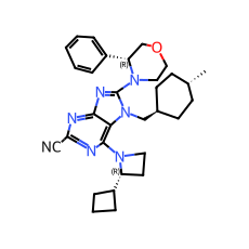 C[C@H]1CC[C@H](Cn2c(N3CCOC[C@H]3c3ccccc3)nc3nc(C#N)nc(N4CC[C@@H]4C4CCC4)c32)CC1